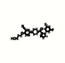 N#Cc1nc(N2CCN(C(=O)N3N=CC[C@H]3c3cc(F)cc(F)c3)CC2)ncc1OCCCO